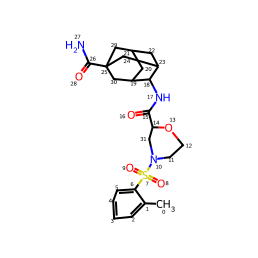 Cc1ccccc1S(=O)(=O)N1CCOC(C(=O)NC2C3CC4CC2CC(C(N)=O)(C4)C3)C1